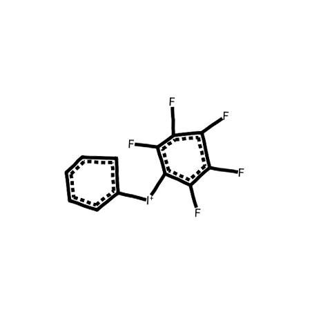 Fc1c(F)c(F)c([I+]c2ccccc2)c(F)c1F